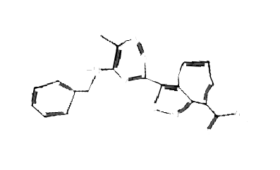 Cc1nnc(-c2snc3c(C(N)=O)cccc23)nc1NCc1ccccc1